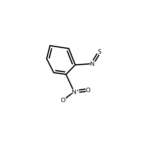 O=[N+]([O-])c1ccccc1N=S